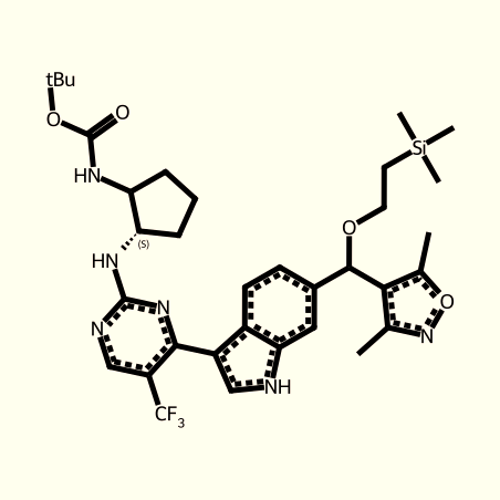 Cc1noc(C)c1C(OCC[Si](C)(C)C)c1ccc2c(-c3nc(N[C@H]4CCCC4NC(=O)OC(C)(C)C)ncc3C(F)(F)F)c[nH]c2c1